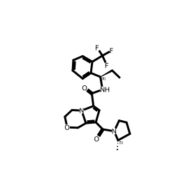 CC[C@@H](NC(=O)c1cc(C(=O)N2CCC[C@@H]2C)c2n1CCOC2)c1ccccc1C(F)(F)F